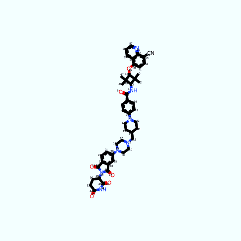 CC1(C)C(NC(=O)c2ccc(N3CCC(CN4CCN(c5ccc6c(c5)C(=O)N(C5CCC(=O)NC5=O)C6=O)CC4)CC3)cc2)C(C)(C)C1Oc1ccc(C#N)c2ncccc12